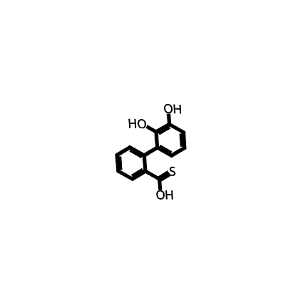 OC(=S)c1ccccc1-c1cccc(O)c1O